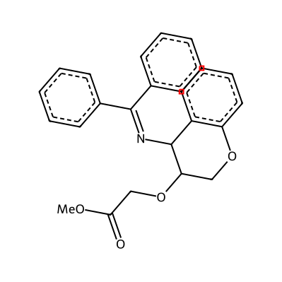 COC(=O)COC1COc2ccccc2C1N=C(c1ccccc1)c1ccccc1